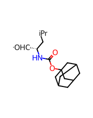 CC(C)C[C@@H]([C]=O)NC(=O)OC12CC3CC(CC(C3)C1)C2